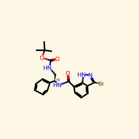 CC(C)(C)OC(=O)NC[C@@H](NC(=O)c1cccc2c(Br)n[nH]c12)c1ccccc1